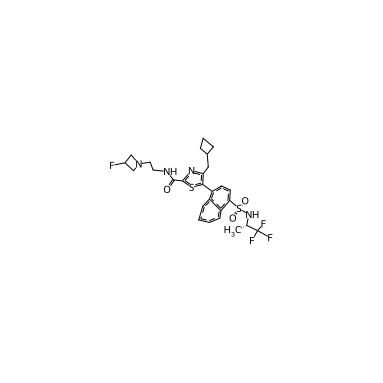 C[C@H](NS(=O)(=O)c1ccc(-c2sc(C(=O)NCCN3CC(F)C3)nc2CC2CCC2)c2ccccc12)C(F)(F)F